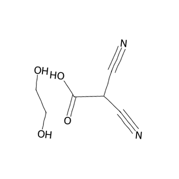 N#CC(C#N)C(=O)O.OCCO